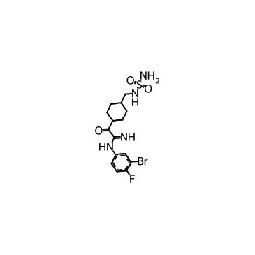 N=C(Nc1ccc(F)c(Br)c1)C(=O)C1CCC(CNS(N)(=O)=O)CC1